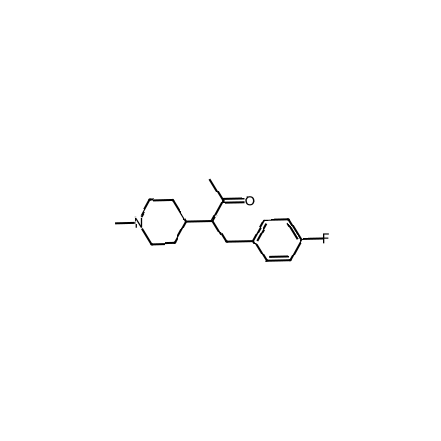 CC(=O)C(Cc1ccc(F)cc1)C1CCN(C)CC1